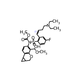 CCN(CC)CC/C=C\c1cc(F)ccc1S(=O)(=O)N(C(=O)OC)c1ccc2c(c1C(O)OC)OCC1CC21